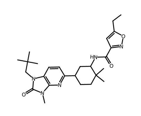 CCc1cc(C(=O)NC2CC(c3ccc4c(n3)n(C)c(=O)n4CC(C)(C)C)CCC2(C)C)no1